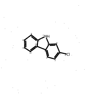 Clc1ccc2c(c1)[nH]c1cc[c]cc12